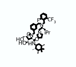 CC(C)C[C@@H](CN1CCCC1)N(Cc1cccc(CN2O[C@@H](CO)[C@@H]([C@H](C)O)[C@H]2C(=O)N[C@H]2C[C@@H](C)C(C)(C)[C@@H](C)[C@@H]2C)c1)Cc1c(F)cccc1C(F)(F)F